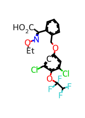 CCON=C(C(=O)O)c1ccccc1COc1cc(Cl)c(OC(F)(F)C(F)F)c(Cl)c1